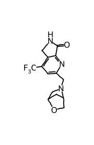 O=C1NCc2c(C(F)(F)F)cc(CN3CC4CC3CO4)nc21